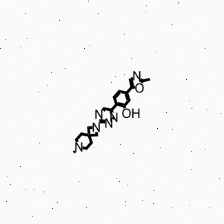 Cc1ncc(-c2ccc(-c3cnc(N4CC5(CCN(C)CC5)C4)nn3)c(O)c2)o1